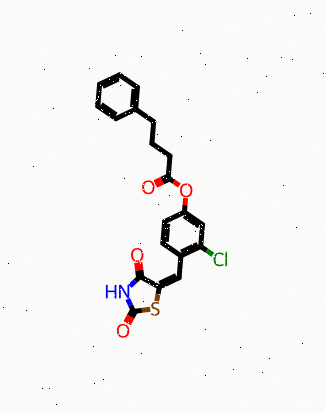 O=C(CCCc1ccccc1)Oc1ccc(C=C2SC(=O)NC2=O)c(Cl)c1